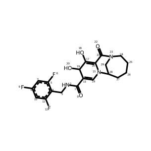 O=C(NCc1c(F)cc(F)cc1F)C1=CN2C(=C(O)C1O)C(=O)N1CCCCC2C1